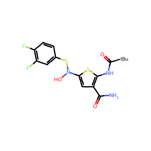 CC(C)(C)C(=O)Nc1sc(N(O)Sc2ccc(F)c(F)c2)cc1C(N)=O